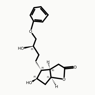 O=C1C[C@@H]2[C@@H](CC[C@@H](O)COc3ccccc3)[C@H](O)C[C@@H]2O1